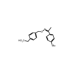 CC(=NOCc1ccc(CC(=O)O)cc1)c1ccc(C(C)(C)C)cc1